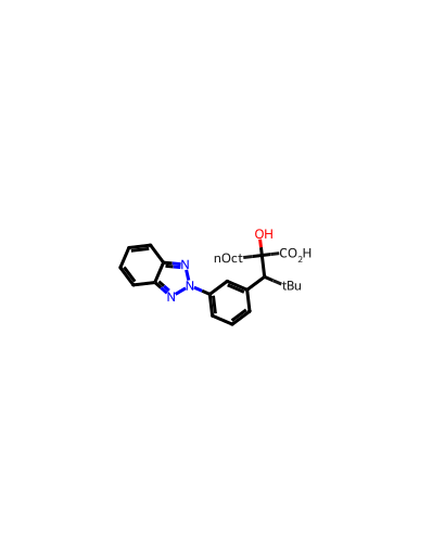 CCCCCCCCC(O)(C(=O)O)C(c1cccc(-n2nc3ccccc3n2)c1)C(C)(C)C